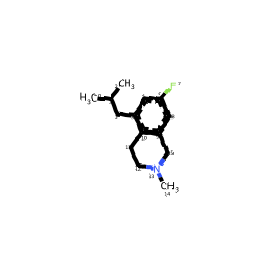 CC(C)Cc1cc(F)cc2c1CCN(C)C2